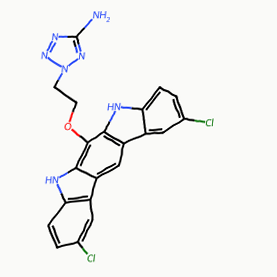 Nc1nnn(CCOc2c3[nH]c4ccc(Cl)cc4c3cc3c2[nH]c2ccc(Cl)cc23)n1